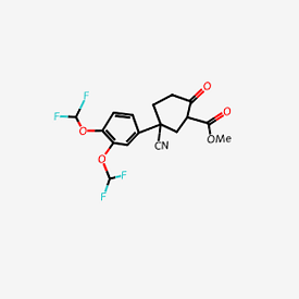 COC(=O)C1CC(C#N)(c2ccc(OC(F)F)c(OC(F)F)c2)CCC1=O